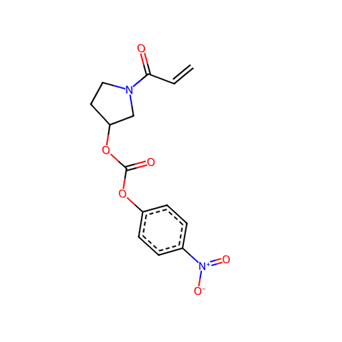 C=CC(=O)N1CCC(OC(=O)Oc2ccc([N+](=O)[O-])cc2)C1